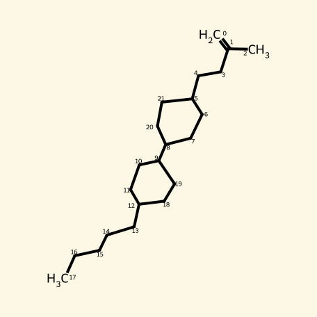 C=C(C)CCC1CCC(C2CCC(CCCCC)CC2)CC1